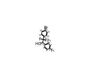 OC(c1ccc(F)cc1F)C(F)(F)c1ccc(Br)cc1